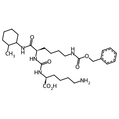 CC1CCCCC1NC(=O)[C@@H](CCCCNC(=O)OCc1ccccc1)NC(=O)N[C@@H](CCCCN)C(=O)O